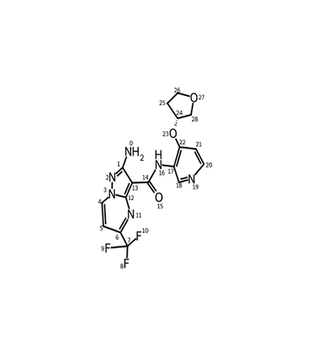 Nc1nn2ccc(C(F)(F)F)nc2c1C(=O)Nc1cnccc1O[C@@H]1CCOC1